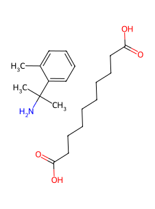 Cc1ccccc1C(C)(C)N.O=C(O)CCCCCCCCC(=O)O